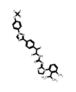 Cc1cccc(N2CCS/C2=N\C(=O)NC(F)C(F)c2ccc(-c3ncn(-c4ccc(OC(F)(F)F)cc4)n3)cc2)c1C(C)C